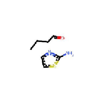 CCCC=O.Nc1nccs1